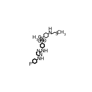 CSCCN[C@H]1CC[C@@H](N(C)S(=O)(=O)c2ccc(Nc3nccc(Nc4ccc(F)cc4)n3)cc2)CC1